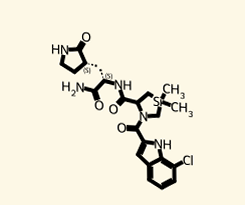 C[Si]1(C)CC(C(=O)N[C@@H](C[C@@H]2CCNC2=O)C(N)=O)N(C(=O)c2cc3cccc(Cl)c3[nH]2)C1